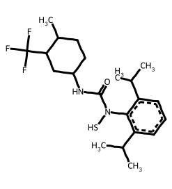 CC(C)c1cccc(C(C)C)c1N(S)C(=O)NC1CCC(C)C(C(F)(F)F)C1